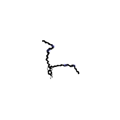 CCCCC/C=C\C/C=C\CCCCCCCCC1(CCCCCCC/C=C/C/C=C\CCCCC)OC2CCC(N(C)C)CC2O1